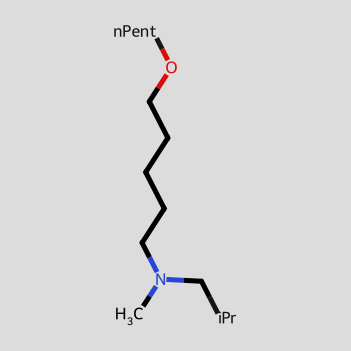 CCCCCOCCCCCN(C)CC(C)C